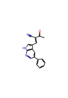 CC(=O)/C(C#N)=C/c1c[nH]c2ncc(-c3ccccc3)cc12